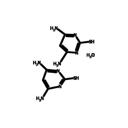 Nc1cc(N)nc(S)n1.Nc1cc(N)nc(S)n1.O